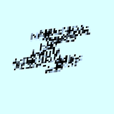 CC(=O)N[C@H]1[C@H](OCCOCCNCC(=O)CCOCC(COCCC(=O)NCCOCCO[C@@H]2O[C@H](COC(C)=O)[C@H](OC(C)=O)[C@H](OC(C)=O)[C@H]2NC(C)=O)(COCCC(=O)NCCOCCO[C@@H]2O[C@H](COC(C)=O)[C@H](OC(C)=O)[C@H](OC(C)=O)[C@H]2NC(C)=O)NC(=O)Cc2ccc(OP(OCCC#N)N(C(C)C)C(C)C)cc2)O[C@H](COC(C)=O)[C@H](OC(C)=O)[C@@H]1OC(C)=O